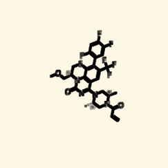 C=CC(=O)N1C[C@H](C)N(c2nc(=O)n3c4c(c(-c5cc(F)c(F)cc5F)c(C(F)(F)F)cc24)SC[C@@H]3COC)C[C@H]1C